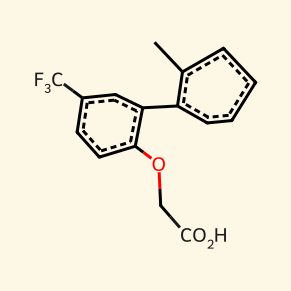 Cc1ccccc1-c1cc(C(F)(F)F)ccc1OCC(=O)O